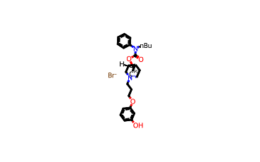 CCCCN(C(=O)O[C@H]1C[N+]2(CCCOc3cccc(O)c3)CCC1CC2)c1ccccc1.[Br-]